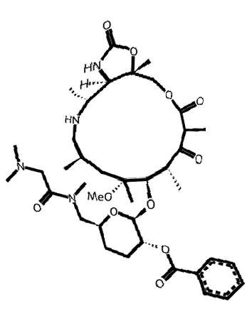 CO[C@]1(C)C[C@@H](C)CN[C@H](C)[C@H]2NC(=O)O[C@]2(C)COC(=O)C(C)C(=O)[C@H](C)[C@H]1O[C@@H]1O[C@H](CN(C)C(=O)CN(C)C)CC[C@H]1OC(=O)c1ccccc1